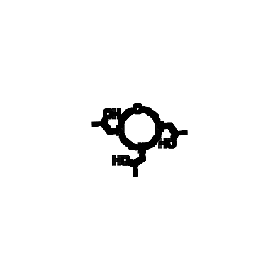 C[C@@H](O)CN1CCOCCN(C[C@@H](C)O)CCN(C[C@@H](C)O)CC1